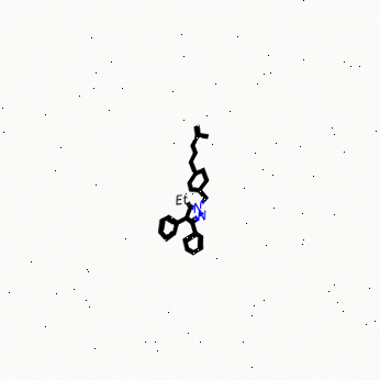 C=C(C)CCCC1CCC(CN2N=C(C3=CCCC=C3)C(c3ccccc3)C2CC)CC1